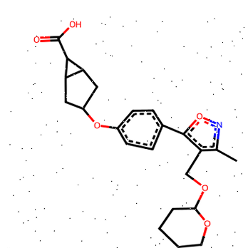 Cc1noc(-c2ccc(OC3CC4C(C3)C4C(=O)O)cc2)c1COC1CCCCO1